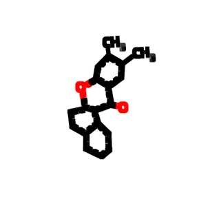 Cc1cc2oc3ccc4ccccc4c3c(=O)c2cc1C